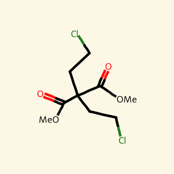 COC(=O)C(CCCl)(CCCl)C(=O)OC